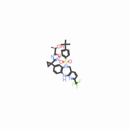 C[C@@H](O)c1nc(C2(c3ccc4c(c3)N(S(=O)(=O)c3ccc(C(C)(C)C)cc3)Cc3ccc(C(F)(F)F)nc3N4)CC2)no1